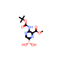 COC(=O)c1nc(B(O)O)cnc1NC(=O)OC(C)(C)C